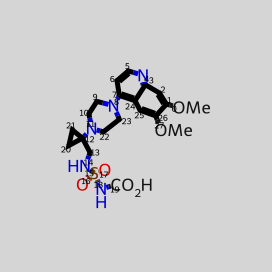 COc1cc2nccc(N3CCN(C4(CNS(=O)(=O)NC(=O)O)CC4)CC3)c2cc1OC